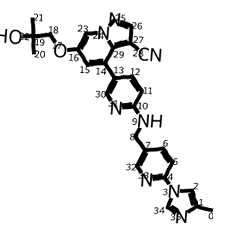 Cc1cn(-c2ccc(CNc3ccc(-c4cc(OCC(C)(C)O)cn5ncc(C#N)c45)cn3)cn2)cn1